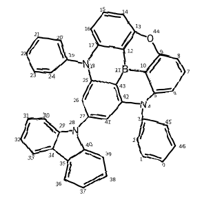 c1ccc(N2c3cccc4c3B3c5c(cccc5N(c5ccccc5)c5cc(-n6c7ccccc7c7ccccc76)cc2c53)O4)cc1